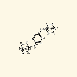 c1cc(C[N+]23CCN(CC2)CC3)ccc1C[N+]12CCN(CC1)CC2